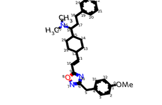 COc1ccc(Cc2noc(C=CC3CCC(C(CCc4ccccc4)N(C)C)CC3)n2)cc1